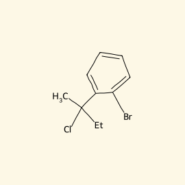 CCC(C)(Cl)c1ccccc1Br